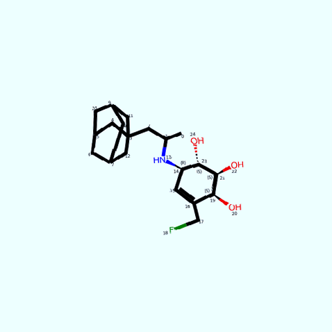 CC(CC12CC3CC(CC(C3)C1)C2)N[C@@H]1C=C(CF)[C@H](O)[C@H](O)[C@H]1O